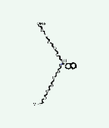 COCCOCCOCCOCCOCCOCC/N=C(/NCCOCCOCCOCCOCCOCCOC)N1CCc2ccccc2C1